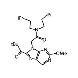 COc1ncc2nc(C(=O)C(C)(C)C)n(CC(=O)N(CCC(C)C)CCC(C)C)c2n1